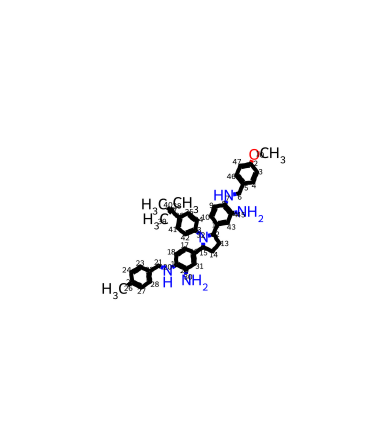 COc1ccc(CNc2ccc(C3CCC(c4ccc(NCc5ccc(C)cc5)c(N)c4)N3c3ccc(C(C)(C)C)cc3)cc2N)cc1